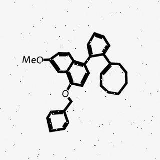 COc1ccc2c(-c3ccccc3/C3=C/CCCCCC3)ccc(OCc3ccccc3)c2c1